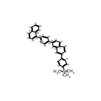 C[Si](C)(C)c1ccc(-c2ccc3ccc(-c4ccc(-c5cccc6ccccc56)nc4)cc3c2)cc1